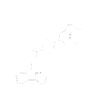 Nc1nc(N2CCN(C(=O)OCC3c4ccccc4-c4ccccc43)CC2)nc2ncn(CC=O)c12